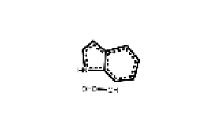 O=CO.c1ccc2[nH]ccc2c1